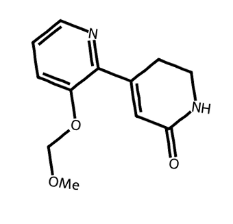 COCOc1cccnc1C1=CC(=O)NCC1